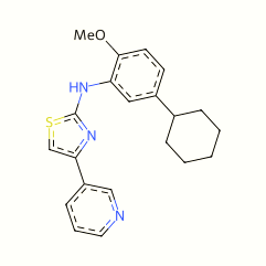 COc1ccc(C2CCCCC2)cc1Nc1nc(-c2cccnc2)cs1